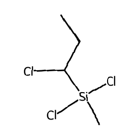 CCC(Cl)[Si](C)(Cl)Cl